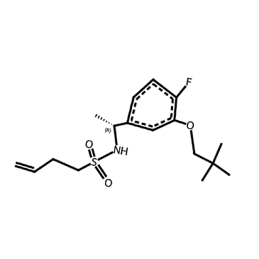 C=CCCS(=O)(=O)N[C@H](C)c1ccc(F)c(OCC(C)(C)C)c1